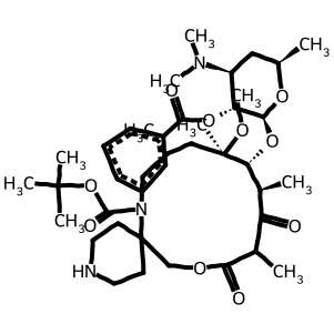 CO[C@]1(C)C[C@@H](C)CN(C(=O)OC(C)(C)C)C2(CCNCC2)COC(=O)C(C)C(=O)[C@H](C)[C@H]1O[C@@H]1O[C@H](C)C[C@H](N(C)C)[C@H]1OC(=O)c1ccccc1